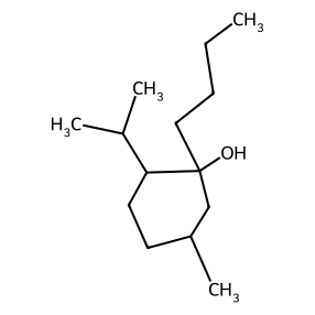 CCCCC1(O)CC(C)CCC1C(C)C